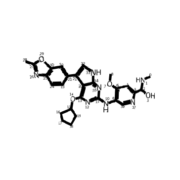 CNC(O)c1cc(OC)c(Nc2nc(OC3CCCC3)c3c(-c4ccc5nc(C)oc5c4)c[nH]c3n2)cn1